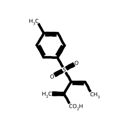 C=C(C(=O)O)C(=CC)S(=O)(=O)c1ccc(C)cc1